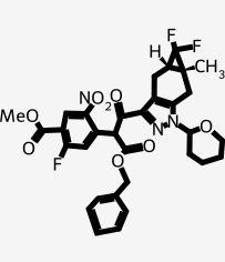 COC(=O)c1cc([N+](=O)[O-])c(C(C(=O)OCc2ccccc2)C(=O)c2nn(C3CCCCO3)c3c2C[C@@H]2C(F)(F)[C@]2(C)C3)cc1F